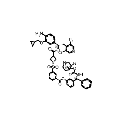 Nc1ccc([C@H](Cc2c(Cl)cncc2Cl)OC(=O)C2CN(S(=O)(=O)c3cccc(C(=O)Oc4cccc([C@@H](NC(=O)O[C@H]5CN6CCC5CC6)c5ccccc5)c4)c3)C2)cc1OCC1CC1